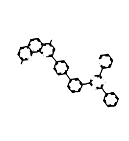 Cc1ccc2ccc3c(C)cc(-c4ccc(-c5cccc(-c6nc(-c7ccccc7)nc(-c7ccccn7)n6)c5)cc4)nc3c2n1